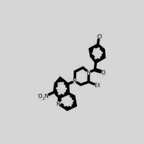 CCC1CN(c2ccc([N+](=O)[O-])c3ncccc23)CCN1C(=O)c1ccc(Cl)cc1